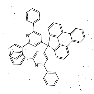 c1ccc(-c2cc(C3(c4cc(-c5ccccc5)nc(-c5ccccc5)c4)c4cccc5c6ccccc6c6cccc3c6c45)cc(-c3ccccc3)n2)cc1